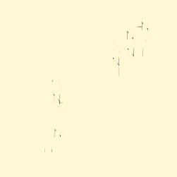 O=C(CCCCCCNC(=S)Nc1ccncn1)N(OCCN1CCOCC1)C1CCCCC1